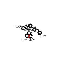 COc1ccc(CN(Cc2ccc(OC)cc2)S(=O)(=O)c2c(-c3nnn(Cc4ccc(OC)cc4)n3)cccc2S(=O)(=O)C(C)CN(C(=O)O)C(C)(C)C)cc1